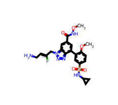 CONC(=O)c1cc(-c2cc(S(=O)(=O)NC3CC3)ccc2OC)c2nnn(C/C(F)=C/CN)c2c1